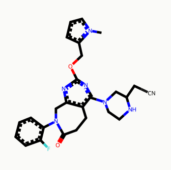 Cn1cccc1COc1nc2c(c(N3CCNC(CC#N)C3)n1)CCC(=O)N(c1ccccc1F)C2